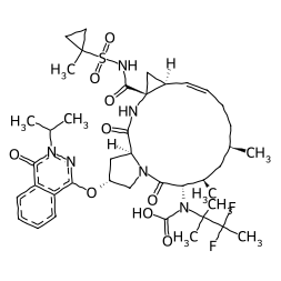 CC(C)n1nc(O[C@@H]2C[C@H]3C(=O)N[C@]4(C(=O)NS(=O)(=O)C5(C)CC5)C[C@H]4/C=C\CC[C@@H](C)C[C@@H](C)[C@H](N(C(=O)O)C(C)(C)C(C)(F)F)C(=O)N3C2)c2ccccc2c1=O